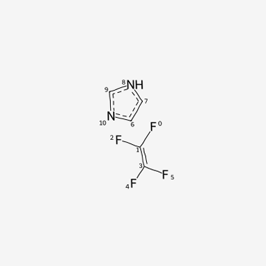 FC(F)=C(F)F.c1c[nH]cn1